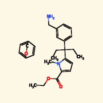 CCOC(=O)c1ccc(C(CC)(CC)c2cccc(CN)c2)n1C.c1cc2ccc1CO2